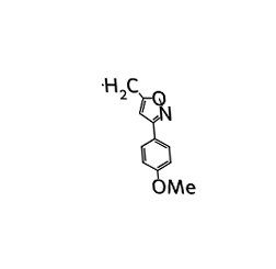 [CH2]c1cc(-c2ccc(OC)cc2)no1